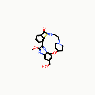 COc1nc2cc(CO)cc3c2nc1-c1cccc2c(=O)n(sc12)CCN1CCC(CC1)O3